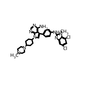 CN1CCN(C2CCC(n3cc(-c4ccc(Nc5nc6cc(Cl)cc(Cl)c6n5C)cc4)c4c(N)ncnc43)CC2)CC1